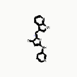 O=C1C=C(Nc2cccnc2)O/C1=C\c1c[nH]c2ncccc12